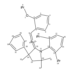 CC(C)Oc1ccccc1[CH]=[Ru-2]=[C]1N(c2c(C(C)C)cccc2C(C)C)C(C)(C)CC1(C)c1ccccc1